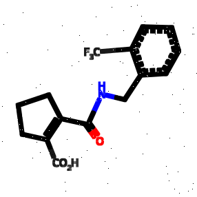 O=C(O)C1=C(C(=O)NCc2ccccc2C(F)(F)F)CCC1